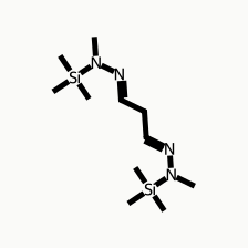 CN(N=CCC=NN(C)[Si](C)(C)C)[Si](C)(C)C